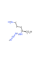 [N-]=[N+]=NN[C@@H](CCCN)C(=O)O